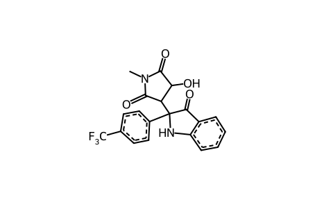 CN1C(=O)C(O)C(C2(c3ccc(C(F)(F)F)cc3)Nc3ccccc3C2=O)C1=O